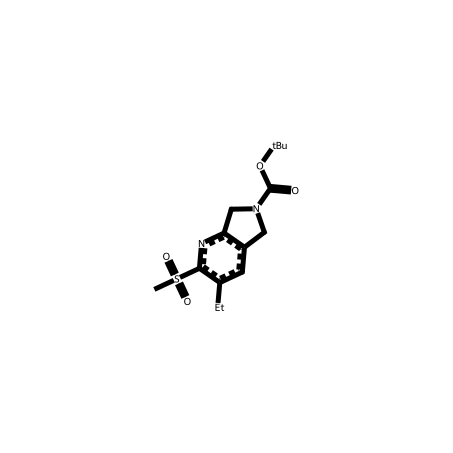 CCc1cc2c(nc1S(C)(=O)=O)CN(C(=O)OC(C)(C)C)C2